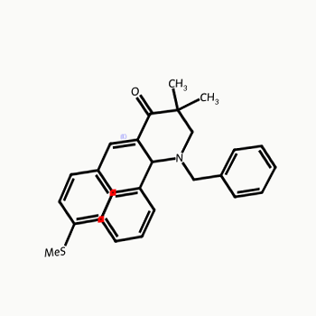 CSc1ccc(/C=C2/C(=O)C(C)(C)CN(Cc3ccccc3)C2c2ccccc2)cc1